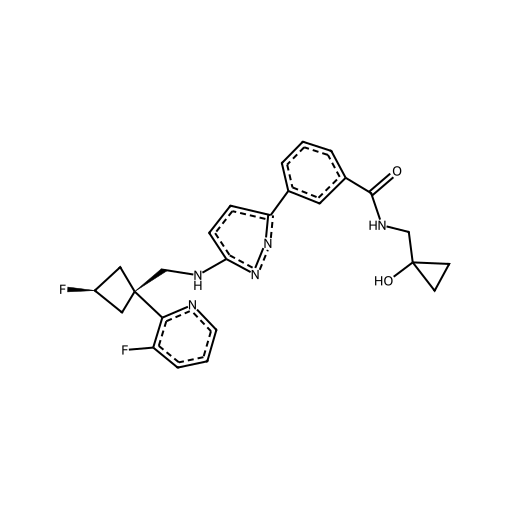 O=C(NCC1(O)CC1)c1cccc(-c2ccc(NC[C@]3(c4ncccc4F)C[C@H](F)C3)nn2)c1